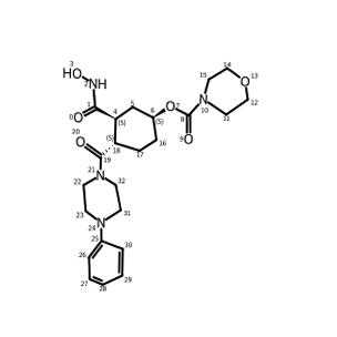 O=C(NO)[C@H]1C[C@@H](OC(=O)N2CCOCC2)CC[C@@H]1C(=O)N1CCN(c2ccccc2)CC1